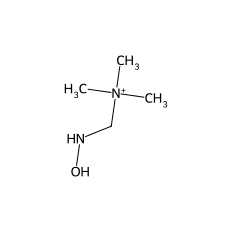 C[N+](C)(C)CNO